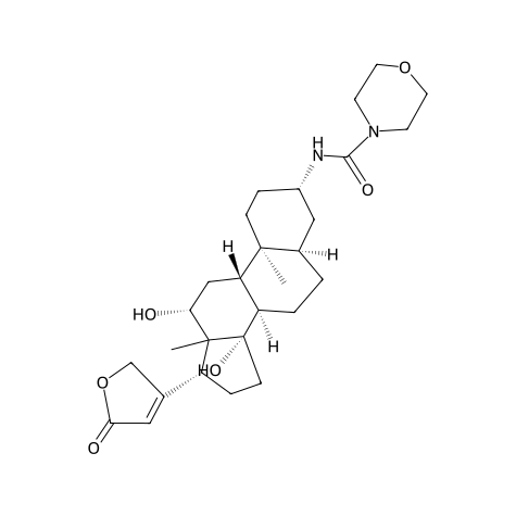 CC12[C@H](O)C[C@H]3[C@@H](CC[C@@H]4C[C@@H](NC(=O)N5CCOCC5)CC[C@@]43C)[C@@]1(O)CC[C@@H]2C1=CC(=O)OC1